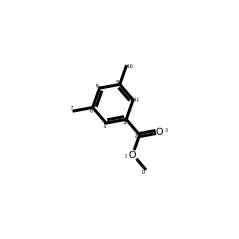 COC(=O)c1cc(C)cc(C)c1